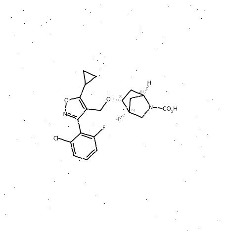 O=C(O)N1C[C@@H]2C[C@H]1C[C@H]2OCc1c(-c2c(F)cccc2Cl)noc1C1CC1